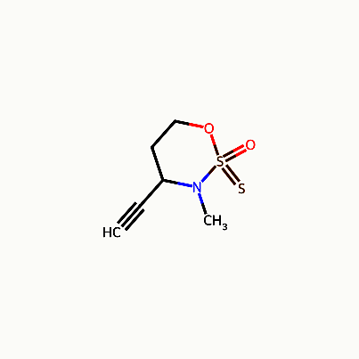 C#CC1CCOS(=O)(=S)N1C